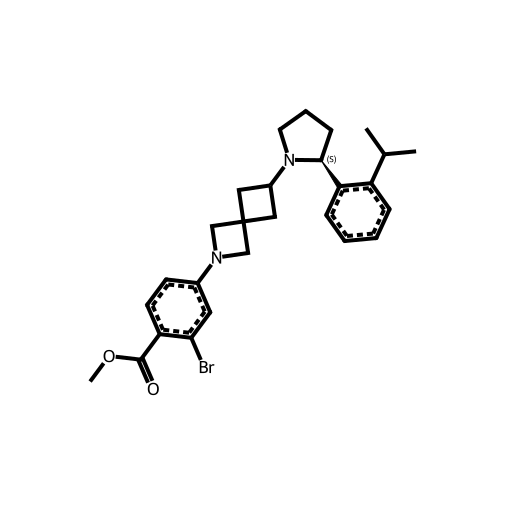 COC(=O)c1ccc(N2CC3(CC(N4CCC[C@H]4c4ccccc4C(C)C)C3)C2)cc1Br